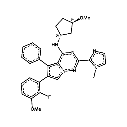 COc1cccc(-c2cn3nc(-c4nccn4C)nc(N[C@@H]4CC[C@@H](OC)C4)c3c2-c2ccccc2)c1F